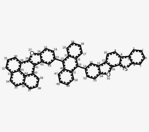 c1ccc2c(c1)sc1c2ccc2c3cc(-c4c5ccccc5c(-c5ccc6oc7c8cccc9ccc%10cccc(c7c6c5)c%10c98)c5ccccc45)ccc3oc21